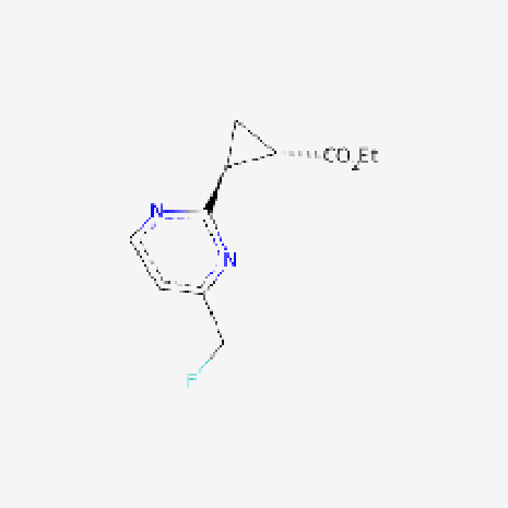 CCOC(=O)[C@H]1C[C@@H]1c1nccc(CF)n1